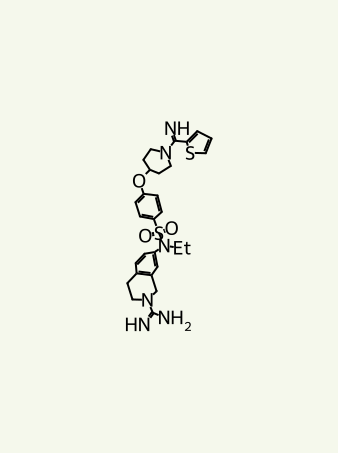 CCN(c1ccc2c(c1)CN(C(=N)N)CC2)S(=O)(=O)c1ccc(OC2CCN(C(=N)c3cccs3)CC2)cc1